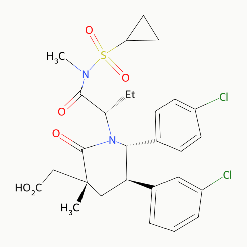 CC[C@@H](C(=O)N(C)S(=O)(=O)C1CC1)N1C(=O)[C@@](C)(CC(=O)O)C[C@H](c2cccc(Cl)c2)[C@H]1c1ccc(Cl)cc1